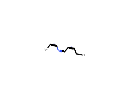 C\C=C/N=C\C=C/CC(C)C